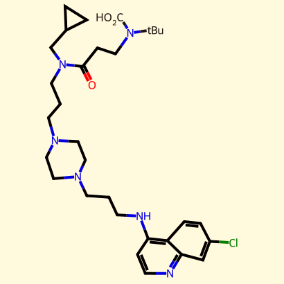 CC(C)(C)N(CCC(=O)N(CCCN1CCN(CCCNc2ccnc3cc(Cl)ccc23)CC1)CC1CC1)C(=O)O